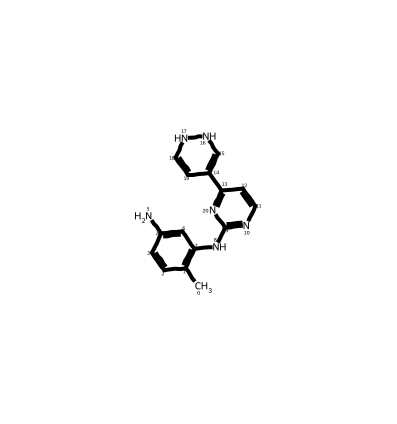 Cc1ccc(N)cc1Nc1nccc(C2=CNNC=C2)n1